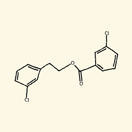 O=C(OCCc1cccc(Cl)c1)c1cccc(Cl)c1